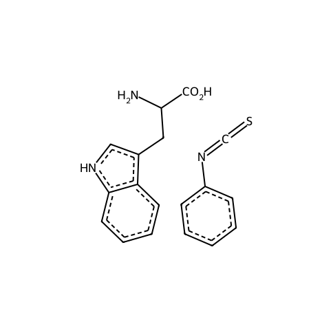 NC(Cc1c[nH]c2ccccc12)C(=O)O.S=C=Nc1ccccc1